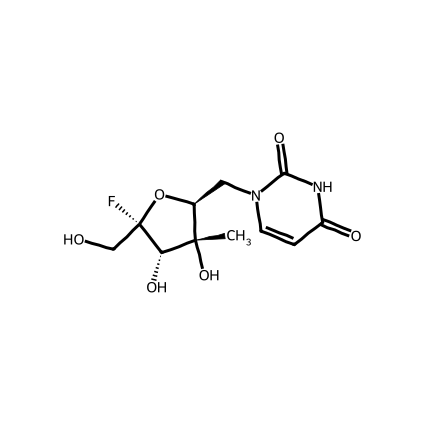 C[C@]1(O)[C@H](Cn2ccc(=O)[nH]c2=O)O[C@](F)(CO)[C@H]1O